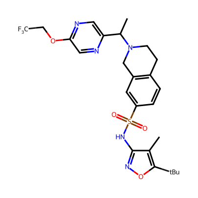 Cc1c(NS(=O)(=O)c2ccc3c(c2)CN(C(C)c2cnc(OCC(F)(F)F)cn2)CC3)noc1C(C)(C)C